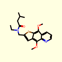 CCN(Cc1cc2c(OC)c3ncccc3c(OC)c2s1)C(=O)CC(C)C